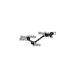 COc1cc(C2NC(=O)c3cc(Cl)ccc3N2)ccc1OCCCCCCCCCCOc1cc(/C=C/c2cc(OC)c(OC)c(OC)c2)ccc1OC